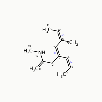 C=C(CC(/C=C\C)=C/C(C)=C\C)NC